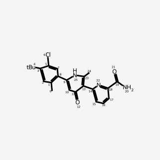 Cc1cc(C(C)(C)C)c(Cl)cc1-c1cc(=O)c(-c2cccc(C(N)=O)n2)c(C)[nH]1